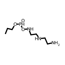 CCCO[PH](=O)ONCCNCCN